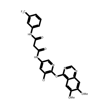 COc1cc2ncnc(Oc3ncc(NC(=O)CC(=O)Nc4cccc(C(F)(F)F)c4)cc3Cl)c2cc1OC